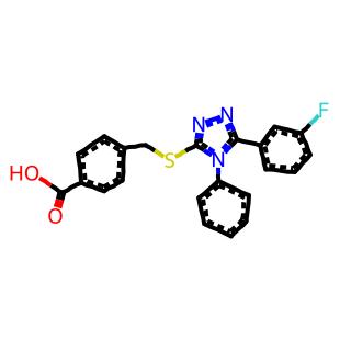 O=C(O)c1ccc(CSc2nnc(-c3cccc(F)c3)n2-c2ccccc2)cc1